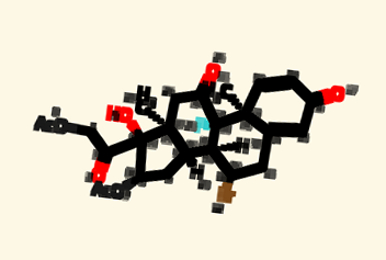 CC(=O)OCC(=O)[C@@]1(O)[C@H](OC(C)=O)C[C@H]2[C@@H]3[C@H](Br)CC4=CC(=O)C=C[C@]4(C)[C@@]3(F)C(=O)C[C@@]21C